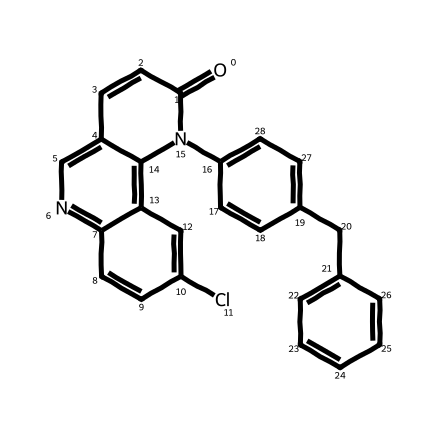 O=c1ccc2cnc3ccc(Cl)cc3c2n1-c1ccc(Cc2ccccc2)cc1